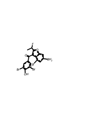 Bc1cc(B)c2c(C(=O)c3cc(Br)c(O)c(Br)c3)c(C(C)F)oc2c1